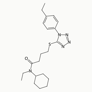 CCc1ccc(-n2nnnc2SCCCC(=O)N(CC)C2CCCCC2)cc1